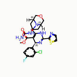 COC(=O)C1=C(CN2[C@@H]3COC[C@H]2C[C@H](NC(N)=O)C3)NC(c2nccs2)=N[C@H]1c1ccc(F)cc1Cl